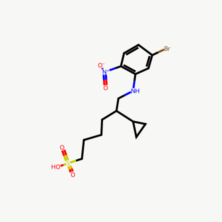 O=[N+]([O-])c1ccc(Br)cc1NCC(CCCCS(=O)(=O)O)C1CC1